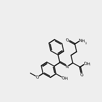 COc1ccc(/C(=N/C(CCC(N)=O)C(=O)O)c2ccccc2)c(O)c1